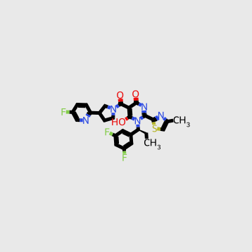 CC[C@@H](c1cc(F)cc(F)c1)n1c(-c2nc(C)cs2)nc(=O)c(C(=O)N2CCC(c3ccc(F)cn3)C2)c1O